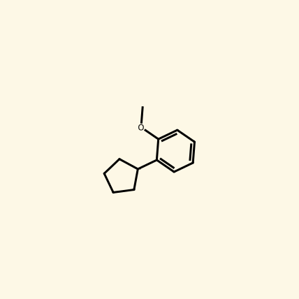 COc1ccccc1[C]1CCCC1